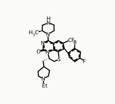 CCN1CCC(C[C@H]2CSc3c(-c4ccc(F)cc4F)c(C(F)(F)F)cc4c(N5CCNC[C@@H]5C)nc(=O)n2c34)CC1